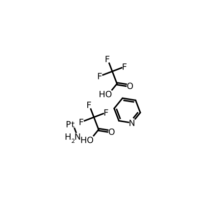 O=C(O)C(F)(F)F.O=C(O)C(F)(F)F.[NH2][Pt].c1ccncc1